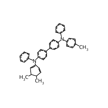 Cc1ccc(N(c2ccccc2)c2ccc(-c3ccc(N(C4=CC(C)C(C)C=C4)c4ccccc4)cc3)cc2)cc1